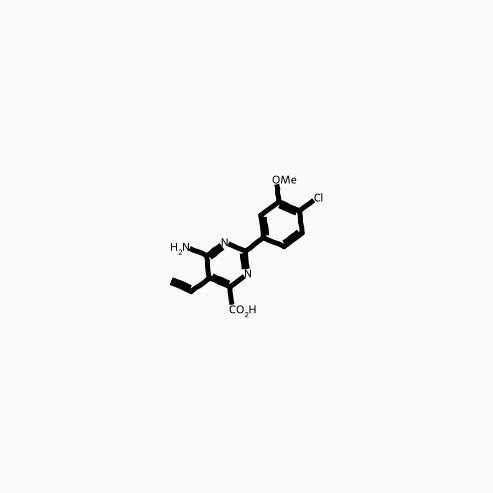 C=Cc1c(N)nc(-c2ccc(Cl)c(OC)c2)nc1C(=O)O